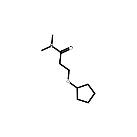 CN(C)C(=O)CCOC1CCCC1